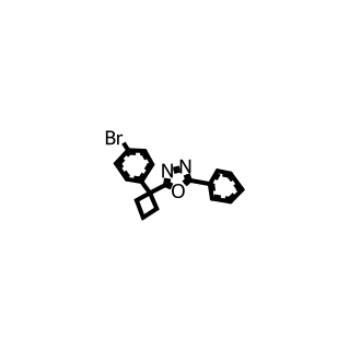 Brc1ccc(C2(c3nnc(-c4ccccc4)o3)CCC2)cc1